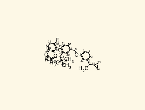 [CH2][C@H](c1cccc(OCc2ccc(-c3cc(OC)ncc3F)c([C@@H](OC)C(C)(C)C)c2)c1)C1CC1